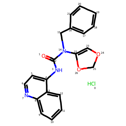 Cl.O=C(Nc1ccnc2ccccc12)N(Cc1ccccc1)C1=COCO1